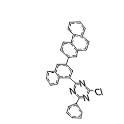 Clc1nc(-c2ccccc2)nc(-c2cc(-c3ccc4c(ccc5ccccc54)c3)cc3ccccc23)n1